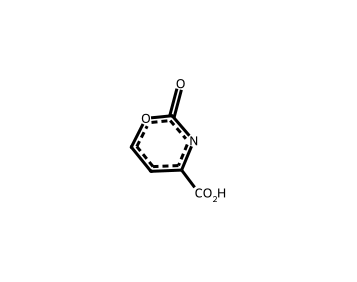 O=C(O)c1ccoc(=O)n1